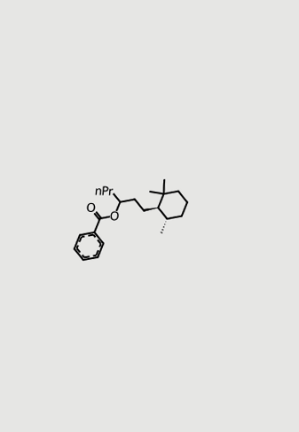 CCCC(CC[C@@H]1[C@@H](C)CCCC1(C)C)OC(=O)c1ccccc1